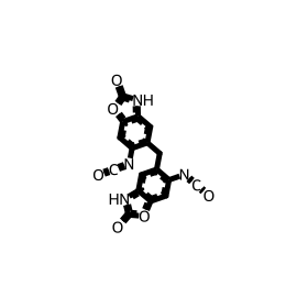 O=C=Nc1cc2oc(=O)[nH]c2cc1Cc1cc2[nH]c(=O)oc2cc1N=C=O